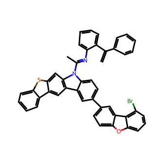 C=C(c1ccccc1)c1ccccc1/N=C(\C)n1c2ccc(-c3ccc4oc5cccc(Br)c5c4c3)cc2c2cc3c(cc21)sc1ccccc13